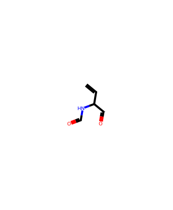 C=CC([C]=O)NC=O